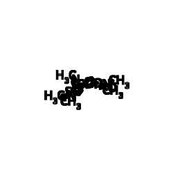 C/N=C/c1c(O[C@H]2CC[C@H](OC[C@H](C)NC(C)=O)CC2)ccc2nc(C(C)C)sc12